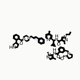 CCCn1cc(C(=O)NC(c2cc(C)ccn2)C2CC2)c(C)n1.COC[C@@H]1CCCN1Cc1cccc(C(=O)Nc2c(C)cnn2C)c1.O=C(c1ccccc1C1CCNC1)N1CCN(C/C=C/c2ccccc2)CC1